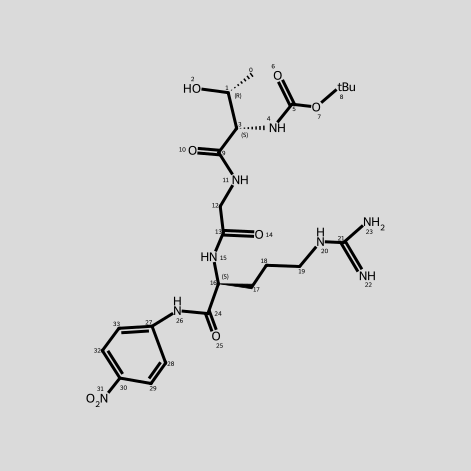 C[C@@H](O)[C@H](NC(=O)OC(C)(C)C)C(=O)NCC(=O)N[C@@H](CCCNC(=N)N)C(=O)Nc1ccc([N+](=O)[O-])cc1